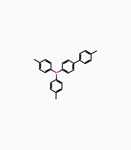 Cc1ccc(-c2ccc(P(c3ccc(C)cc3)c3ccc(C)cc3)cc2)cc1